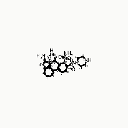 Nc1nc2cccc(-c3ccc(S(=O)(=O)N4CCNCC4)c(S(N)(=O)=O)c3-c3nn[nH]n3)c2[nH]1